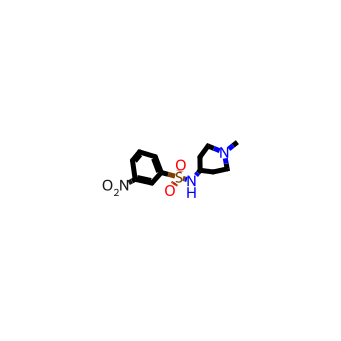 CN1CCC(NS(=O)(=O)c2cccc([N+](=O)[O-])c2)CC1